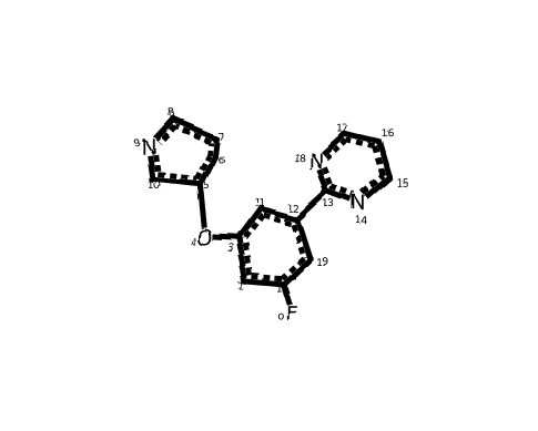 Fc1cc(Oc2cccnc2)cc(-c2ncccn2)c1